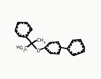 CC(Oc1ccc(-c2ccccc2)cc1)(C(=O)O)c1ccccc1